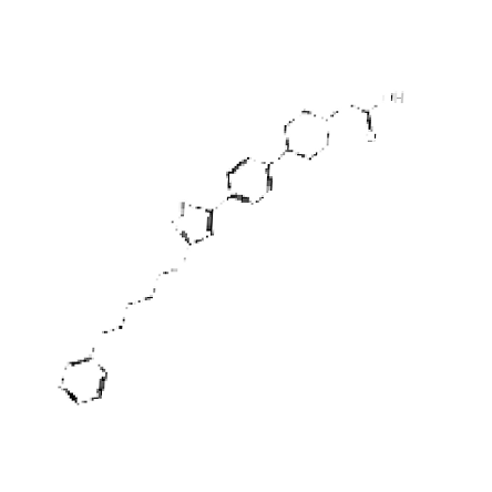 O=C(O)CC1CCC(c2ccc(-c3cc(OCCCCOc4ccccc4)n[nH]3)cc2)CC1